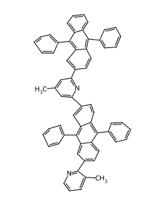 Cc1cc(-c2ccc3c(-c4ccccc4)c4ccccc4c(-c4ccccc4)c3c2)nc(-c2ccc3c(-c4ccccc4)c4ccc(-c5ncccc5C)cc4c(-c4ccccc4)c3c2)c1